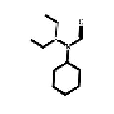 CCP(CC)N(C=O)C1CCCCC1